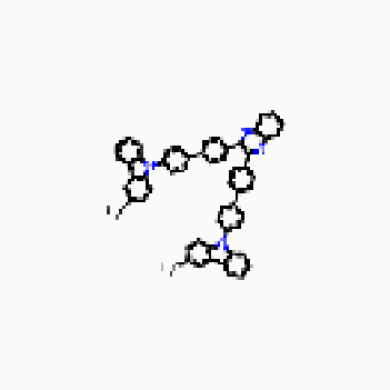 Cc1ccc2c(c1)c1ccccc1n2-c1ccc(-c2ccc(-c3nc4ccccc4nc3-c3ccc(-c4ccc(-n5c6ccccc6c6cc(C)ccc65)cc4)cc3)cc2)cc1